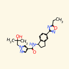 CCc1nc(-c2ccc3c(c2)CCC3NC(=O)c2cnn(CC(C)(C)O)c2)no1